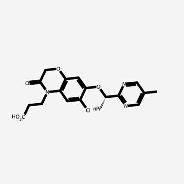 CCC[C@H](Oc1cc2c(cc1Cl)N(CCC(=O)O)C(=O)CO2)c1ncc(C)cn1